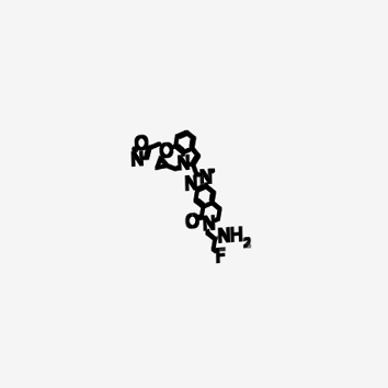 Cn1c(-c2cc3cccc(OCc4cnco4)c3n2CC2CC2)nc2cc3c(cc21)CCN(C[C@H](N)CF)C3=O